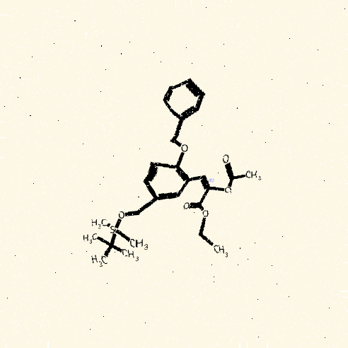 CCOC(=O)/C(=C\c1cc(CO[Si](C)(C)C(C)(C)C)ccc1OCc1ccccc1)OC(C)=O